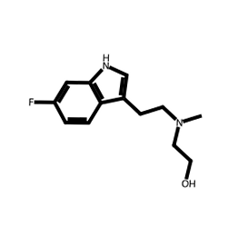 CN(CCO)CCc1c[nH]c2cc(F)ccc12